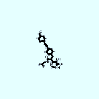 O=C(NCC(F)F)C(Cc1ccc(C#Cc2ccc(CCl)cc2)cc1)c1nc[nH]c(=O)c1O